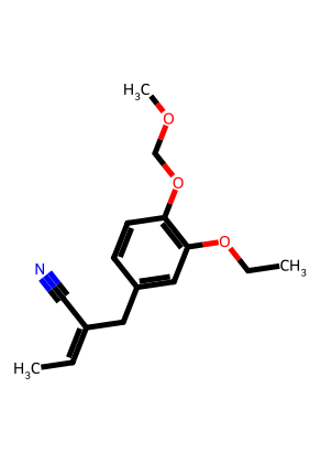 C/C=C(\C#N)Cc1ccc(OCOC)c(OCC)c1